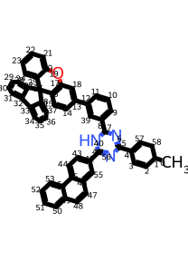 CC1C=CC(C2=NC(c3cccc(-c4ccc5c(c4)Oc4ccccc4C54c5ccccc5-c5ccccc54)c3)NC(c3ccc4c(ccc5ccccc54)c3)=N2)=CC1